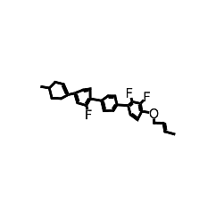 C/C=C/COc1ccc(-c2ccc(-c3ccc(C4=CCC(C)CC4)cc3F)cc2)c(F)c1F